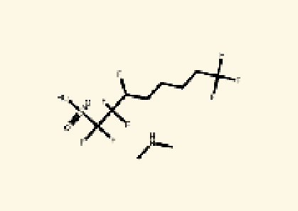 CNC.O=S(=O)(O)C(F)(F)C(F)(F)C(F)CCCCC(F)(F)F